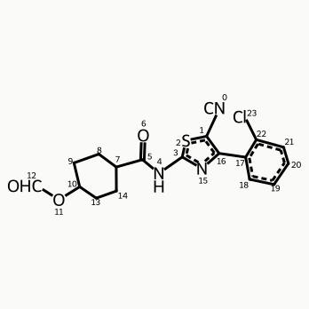 N#Cc1sc(NC(=O)C2CCC(OC=O)CC2)nc1-c1ccccc1Cl